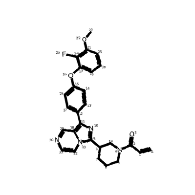 C=CC(=O)N1CCCC(c2nc(-c3ccc(Oc4cccc(OC)c4F)cc3)c3cnccn23)C1